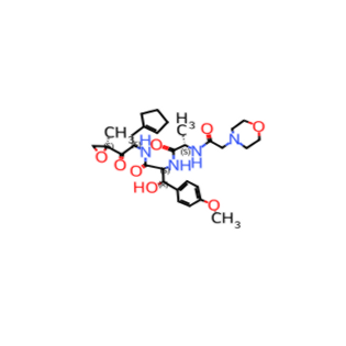 COc1ccc([C@@H](O)[C@H](NC(=O)[C@H](C)NC(=O)CN2CCOCC2)C(=O)N[C@@H](CC2=CCCC2)C(=O)[C@]2(C)CO2)cc1